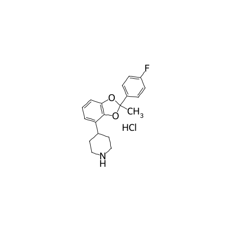 CC1(c2ccc(F)cc2)Oc2cccc(C3CCNCC3)c2O1.Cl